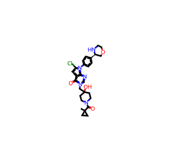 CC1(C(=O)N2CCC(O)(Cn3cnc4c(cc(Cl)n4-c4ccc([C@@H]5COCCN5)cc4)c3=O)CC2)CC1